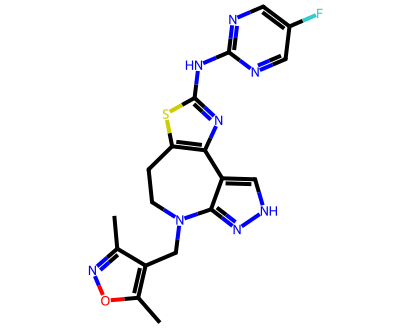 Cc1noc(C)c1CN1CCc2sc(Nc3ncc(F)cn3)nc2-c2c[nH]nc21